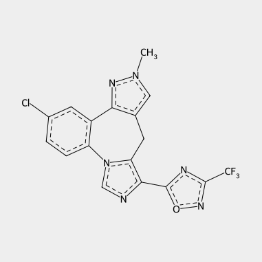 Cn1cc2c(n1)-c1cc(Cl)ccc1-n1cnc(-c3nc(C(F)(F)F)no3)c1C2